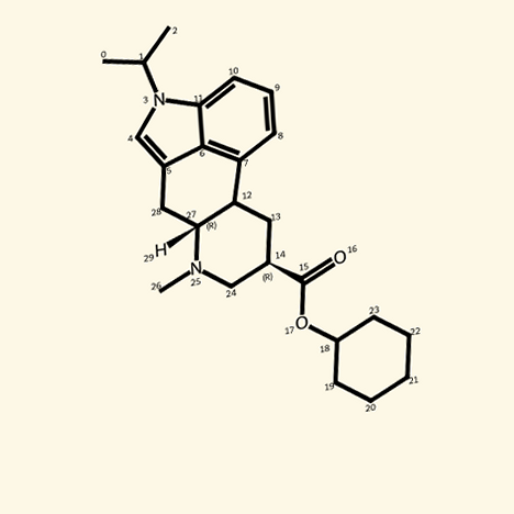 CC(C)n1cc2c3c(cccc31)C1C[C@@H](C(=O)OC3CCCCC3)CN(C)[C@@H]1C2